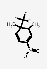 CC1C=C([N+](=O)[O-])C=CC1(C)C(F)(F)F